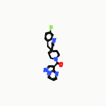 N#CC1(Cc2ccc(F)cc2)CCN(C(=O)c2cnn3cccnc23)CC1